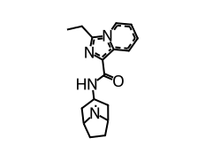 CCc1nc(C(=O)NC2CC3CCC(C2)N3C)c2ccccn12